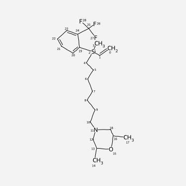 C=C[Si](C)(CCCCCCCN1CC(C)OC(C)C1)c1ccccc1C(F)(F)F